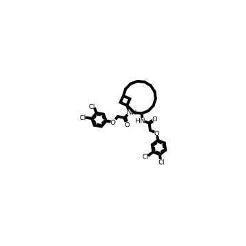 O=C(COc1ccc(Cl)c(Cl)c1)NC1CCCCCCCCCC2CC(NC(=O)COc3ccc(Cl)c(Cl)c3)(C2)C1